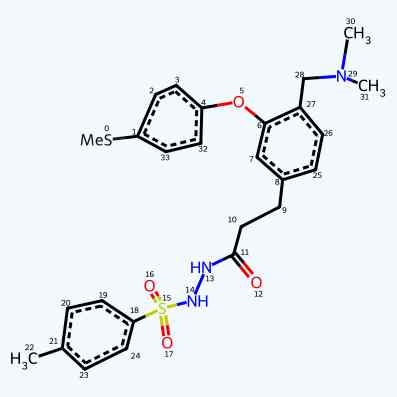 CSc1ccc(Oc2cc(CCC(=O)NNS(=O)(=O)c3ccc(C)cc3)ccc2CN(C)C)cc1